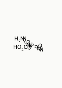 CN1CCN(c2ccc([C@@H]3CCCN(C(=O)N4C(=O)[C@H](Cc5ccnc(N)c5)[C@H]4C(=O)O)C3)cc2)C(=O)C1